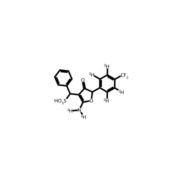 [2H]c1c([2H])c(C(F)(F)F)c([2H])c([2H])c1C1OC(N([2H])[2H])=C(C(c2ccccc2)S(=O)(=O)O)C1=O